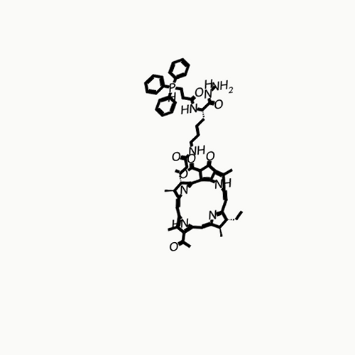 CC[C@H]1c2cc3[nH]c4c(c3C)C(=O)C(C(=O)OC)c4c3nc(cc4[nH]c(cc(n2)[C@@H]1C)c(C(C)=O)c4C)[C@@H](C)[C@@H]3CCC(=O)NCCCC[C@H](NC(=O)CC[PH](c1ccccc1)(c1ccccc1)c1ccccc1)C(=O)NN